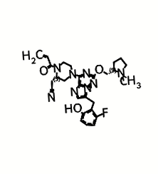 C=CC(=O)N1CCN(c2nc(OC[C@@H]3CCCN3C)nn3c(Cc4c(O)cccc4F)cnc23)C[C@@H]1CC#N